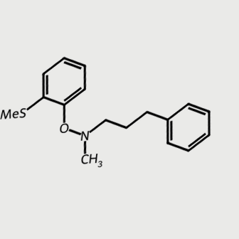 CSc1ccccc1ON(C)CCCc1ccccc1